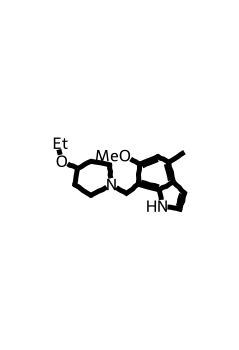 CCOC1CCN(Cc2c(OC)cc(C)c3cc[nH]c23)CC1